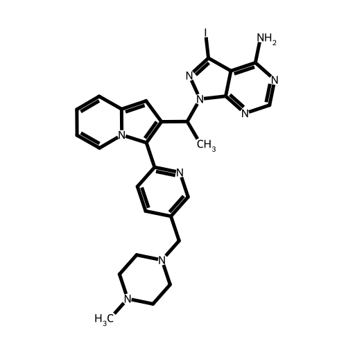 CC(c1cc2ccccn2c1-c1ccc(CN2CCN(C)CC2)cn1)n1nc(I)c2c(N)ncnc21